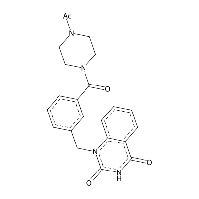 CC(=O)N1CCN(C(=O)c2cccc(Cn3c(=O)[nH]c(=O)c4ccccc43)c2)CC1